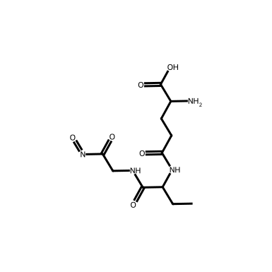 CCC(NC(=O)CCC(N)C(=O)O)C(=O)NCC(=O)N=O